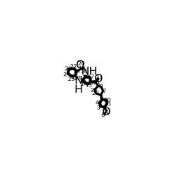 COc1ccc(C2CCC(C(=O)c3ccc4c(c3)NC(=O)c3ccccc3N4)CC2)cc1